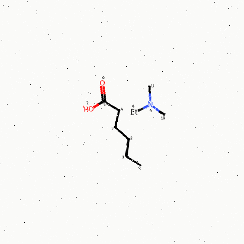 CCCCCC(=O)O.CCN(C)C